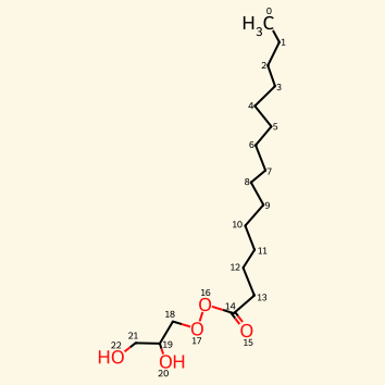 CCCCCCCCCCCCCCC(=O)OOCC(O)CO